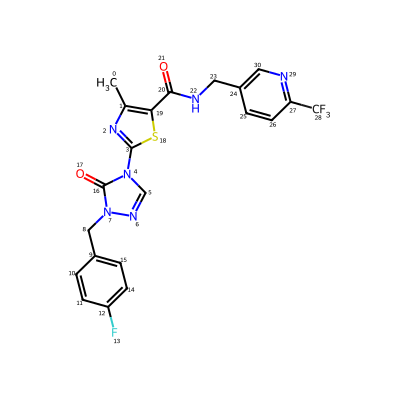 Cc1nc(-n2cnn(Cc3ccc(F)cc3)c2=O)sc1C(=O)NCc1ccc(C(F)(F)F)nc1